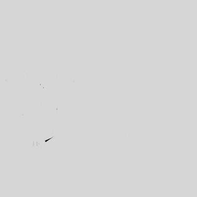 C[C@@H](C(=O)N1C(=O)c2ccccc2C1=O)[C@H](O)c1cccc(OCC2CCCCC2)c1